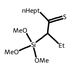 CCCCCCCC(=S)C(CC)[Si](OC)(OC)OC